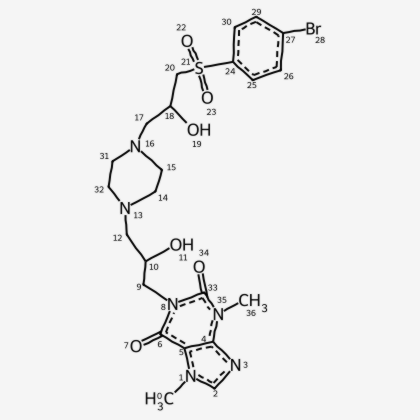 Cn1cnc2c1c(=O)n(CC(O)CN1CCN(CC(O)CS(=O)(=O)c3ccc(Br)cc3)CC1)c(=O)n2C